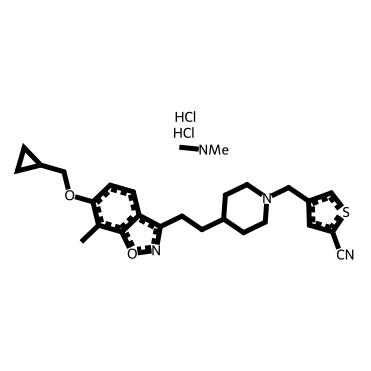 CNC.Cc1c(OCC2CC2)ccc2c(CCC3CCN(Cc4csc(C#N)c4)CC3)noc12.Cl.Cl